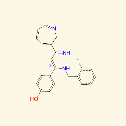 N=C(/C=C(\NCc1ccccc1F)c1ccc(O)cc1)C1=CC=CC=NC1